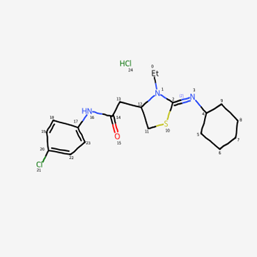 CCN1/C(=N/C2CCCCC2)SCC1CC(=O)Nc1ccc(Cl)cc1.Cl